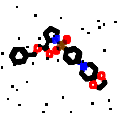 O=C(OCc1ccccc1)[C@H]1CCCN1S(=O)(=O)c1ccc(N2CCC3(CC2)OCCO3)cc1